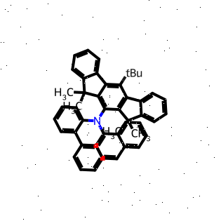 CC(C)(C)c1c2c(c(N(c3ccccc3-c3ccccc3)c3cccc4ccccc34)c3c1-c1ccccc1C3(C)C)C(C)(C)c1ccccc1-2